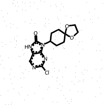 O=c1[nH]c2cnc(Cl)nc2n1C1CCC2(CC1)OCCO2